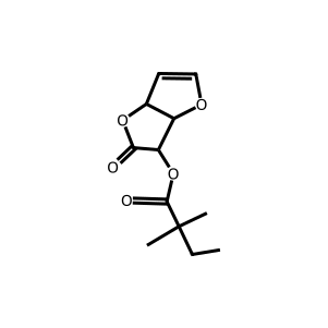 CCC(C)(C)C(=O)OC1C(=O)OC2C=COC21